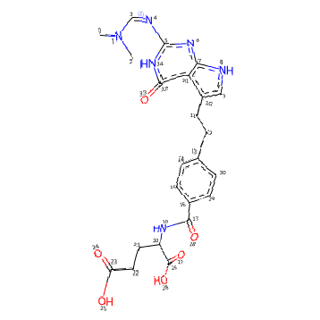 CN(C)/C=N\c1nc2[nH]cc(CCc3ccc(C(=O)NC(CCC(=O)O)C(=O)O)cc3)c2c(=O)[nH]1